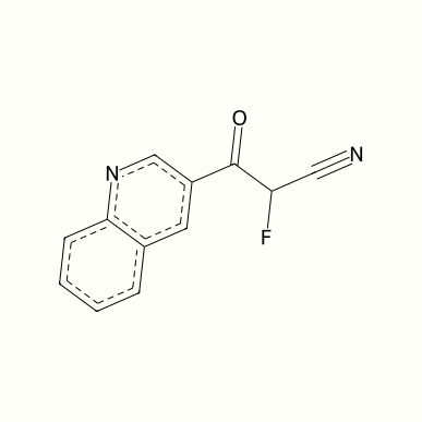 N#CC(F)C(=O)c1cnc2ccccc2c1